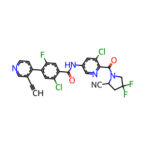 C#Cc1cnccc1-c1cc(Cl)c(C(=O)Nc2cnc(C(=O)N3CC(F)(F)CC3C#N)c(Cl)c2)cc1F